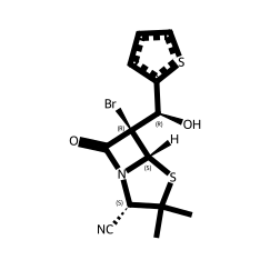 CC1(C)S[C@@H]2N(C(=O)[C@]2(Br)[C@H](O)c2cccs2)[C@H]1C#N